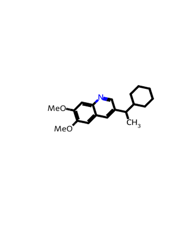 COc1cc2cc(C(C)C3CCCCC3)cnc2cc1OC